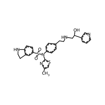 Cc1csc(N(c2ccc(CCNCC(O)c3cccnc3)cc2)S(=O)(=O)c2ccc3c(c2)CCN3)n1